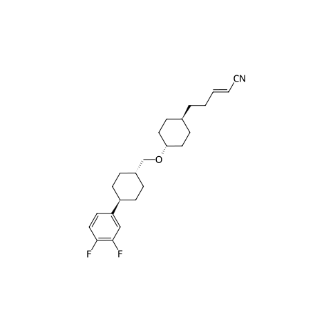 N#C/C=C/CC[C@H]1CC[C@H](OC[C@H]2CC[C@H](c3ccc(F)c(F)c3)CC2)CC1